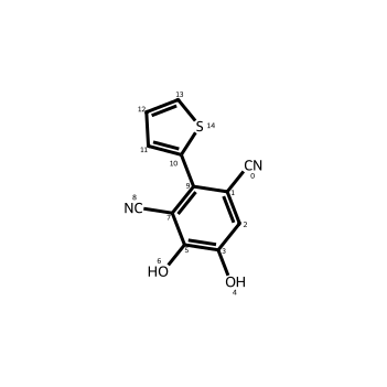 N#Cc1cc(O)c(O)c(C#N)c1-c1cccs1